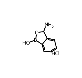 Cl.NC1OB(O)c2ccccc21